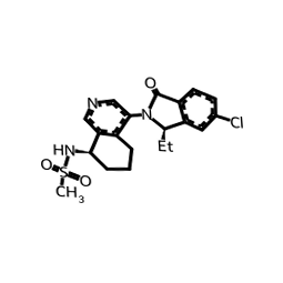 CC[C@@H]1c2cc(Cl)ccc2C(=O)N1c1cncc2c1CCC[C@H]2NS(C)(=O)=O